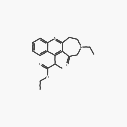 CCOC(=O)C(C)c1c2c(nc3ccccc13)CCN(CC)CC2=O